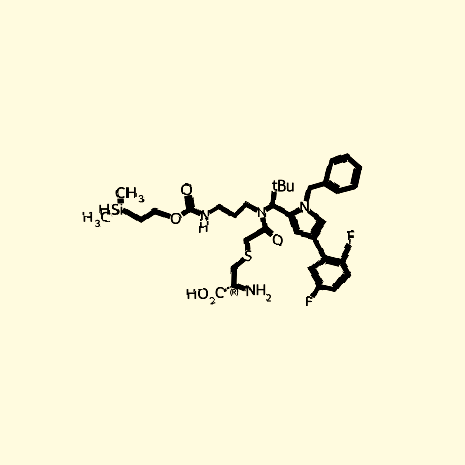 C[SiH](C)CCOC(=O)NCCCN(C(=O)CSC[C@H](N)C(=O)O)C(c1cc(-c2cc(F)ccc2F)cn1Cc1ccccc1)C(C)(C)C